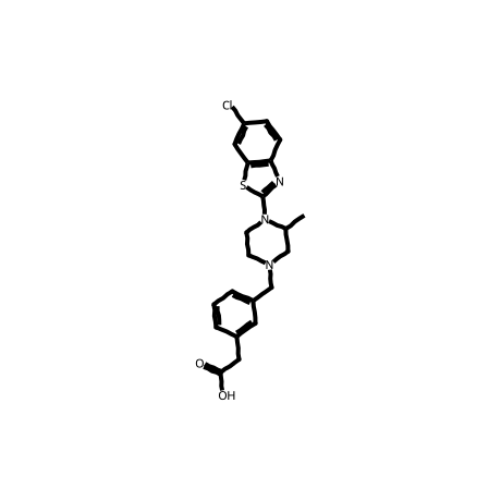 CC1CN(Cc2cccc(CC(=O)O)c2)CCN1c1nc2ccc(Cl)cc2s1